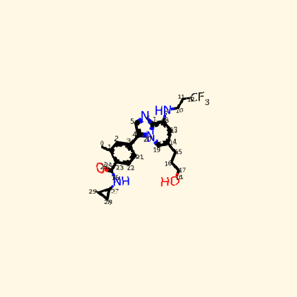 Cc1cc(-c2cnc3c(NCCC(F)(F)F)cc(CCCO)cn23)ccc1C(=O)NC1CC1